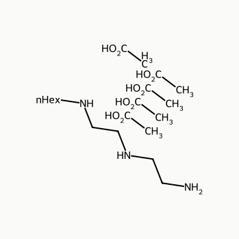 CC(=O)O.CC(=O)O.CC(=O)O.CC(=O)O.CC(=O)O.CCCCCCNCCNCCN